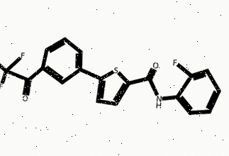 O=C(Nc1ccccc1F)c1ccc(-c2cccc(C(=O)C(F)(F)F)c2)s1